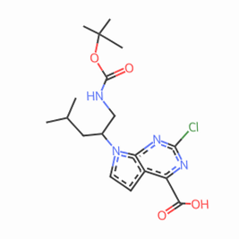 CC(C)CC(CNC(=O)OC(C)(C)C)n1ccc2c(C(=O)O)nc(Cl)nc21